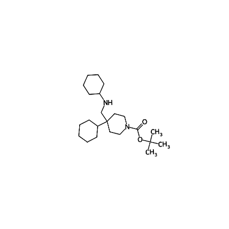 CC(C)(C)OC(=O)N1CCC(CNC2CCCCC2)(C2CCCCC2)CC1